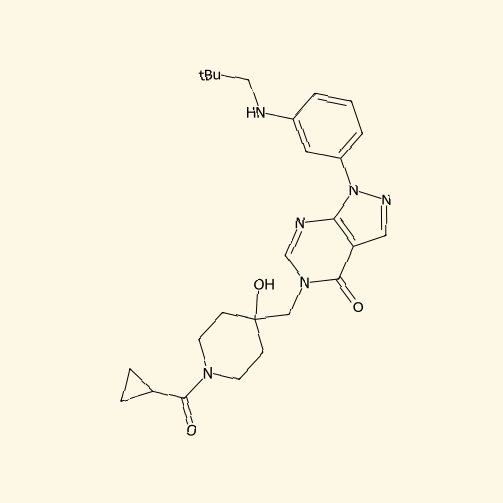 CC(C)(C)CNc1cccc(-n2ncc3c(=O)n(CC4(O)CCN(C(=O)C5CC5)CC4)cnc32)c1